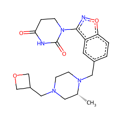 C[C@@H]1CN(CC2COC2)CCN1Cc1ccc2onc(N3CCC(=O)NC3=O)c2c1